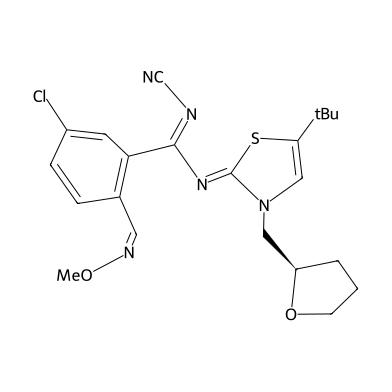 CO/N=C\c1ccc(Cl)cc1C(/N=c1\sc(C(C)(C)C)cn1C[C@H]1CCCO1)=N\C#N